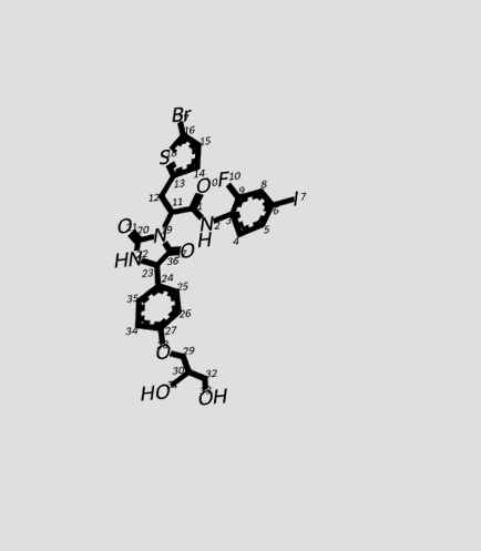 O=C(Nc1ccc(I)cc1F)C(Cc1ccc(Br)s1)N1C(=O)NC(c2ccc(OCC(O)CO)cc2)C1=O